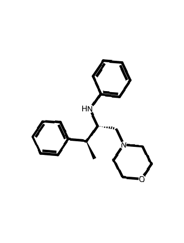 C[C@@H](c1ccccc1)[C@@H](CN1CCOCC1)Nc1ccccc1